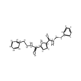 O=C(NCCc1ccccc1)c1ccc(C(=O)NCCc2ccccc2)o1